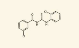 O=C(NC(=S)Nc1ccccc1Cl)c1cccc(Cl)c1